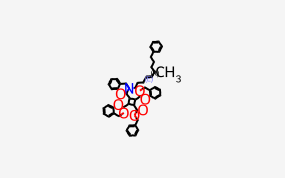 C[C@@H](/C=C/CCCN(Cc1ccccc1)C(=O)C1C(C(=O)OCc2ccccc2)C(C(=O)OCc2ccccc2)C1C(=O)OCc1ccccc1)CCCc1ccccc1